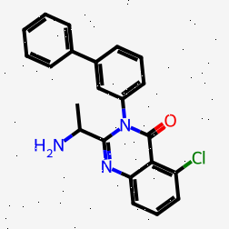 CC(N)c1nc2cccc(Cl)c2c(=O)n1-c1cccc(-c2ccccc2)c1